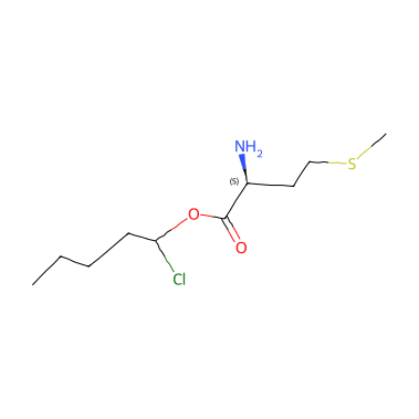 CCCCC(Cl)OC(=O)[C@@H](N)CCSC